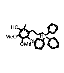 COc1c(O)c(C)c(CCC[PH](c2ccccc2)(c2ccccc2)c2ccccc2)c(O)c1OC